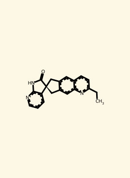 CCc1ccc2cc3c(cc2n1)C[C@]1(C3)C(=O)Nc2ncccc21